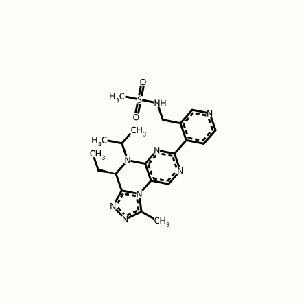 CC[C@@H]1c2nnc(C)n2-c2cnc(-c3ccncc3CNS(C)(=O)=O)nc2N1C(C)C